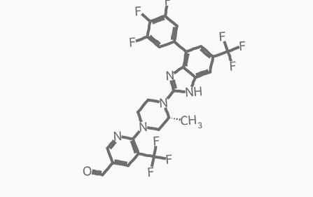 C[C@@H]1CN(c2ncc(C=O)cc2C(F)(F)F)CCN1c1nc2c(-c3cc(F)c(F)c(F)c3)cc(C(F)(F)F)cc2[nH]1